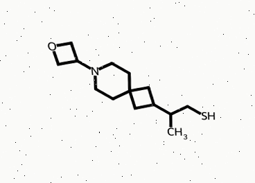 CC(CS)C1CC2(CCN(C3COC3)CC2)C1